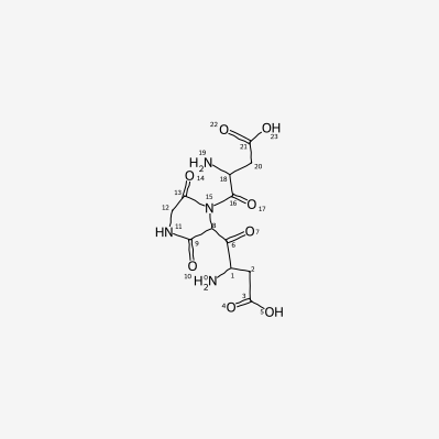 NC(CC(=O)O)C(=O)C1C(=O)NCC(=O)N1C(=O)C(N)CC(=O)O